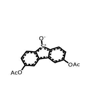 CC(=O)Oc1ccc2c(c1)c1cc(OC(C)=O)ccc1[s+]2[O-]